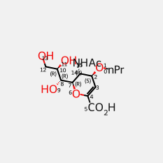 CCCO[C@H]1C=C(C(=O)O)O[C@@H]([C@H](O)[C@H](O)CO)[C@@H]1NC(C)=O